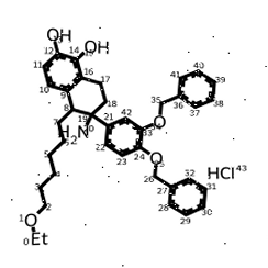 CCOCCCCCCC1c2ccc(O)c(O)c2CCC1(N)c1ccc(OCc2ccccc2)c(OCc2ccccc2)c1.Cl